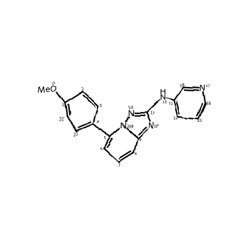 COc1ccc(-c2cccc3nc(Nc4cccnc4)nn23)cc1